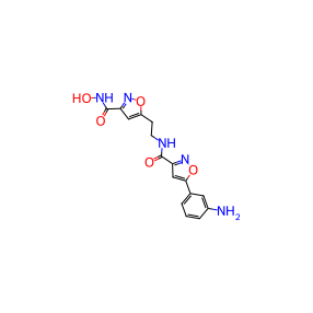 Nc1cccc(-c2cc(C(=O)NCCc3cc(C(=O)NO)no3)no2)c1